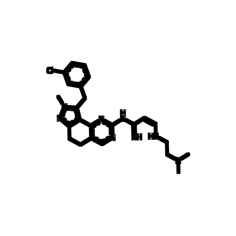 CN(C)CCN/C=C\C(=N)Nc1ncc2c(n1)-c1c(nn(C)c1Cc1cccc(Cl)c1)CC2